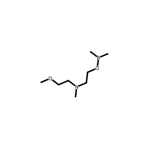 COCCN(C)CCOB(C)C